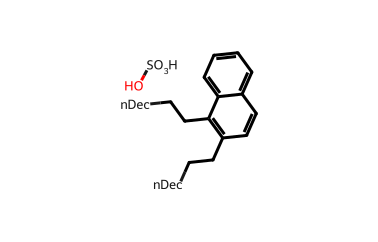 CCCCCCCCCCCCc1ccc2ccccc2c1CCCCCCCCCCCC.O=S(=O)(O)O